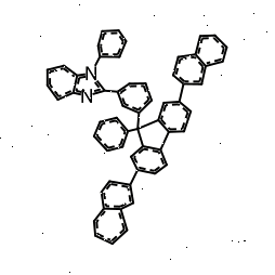 c1ccc(-n2c(-c3cccc(C4(c5ccccc5)c5cc(-c6ccc7ccccc7c6)ccc5-c5ccc(-c6ccc7ccccc7c6)cc54)c3)nc3ccccc32)cc1